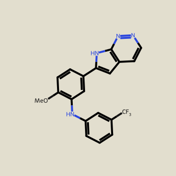 COc1ccc(-c2cc3ccnnc3[nH]2)cc1Nc1cccc(C(F)(F)F)c1